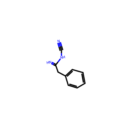 N#CNC(=N)Cc1ccccc1